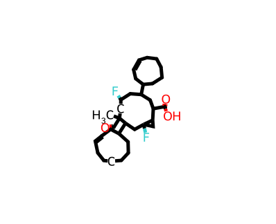 CC1(C=O)CC(F)CC(C2C/C=C\CCCCC2)CC(C(=O)O)C2CC2(F)CC1C1C/C=C\CCCCCC1